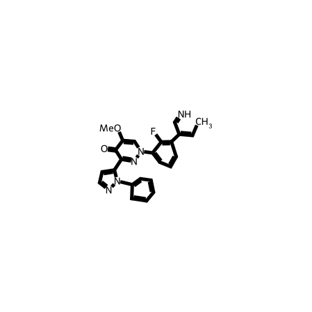 C/C=C(\C=N)c1cccc(-n2cc(OC)c(=O)c(-c3ccnn3-c3ccccc3)n2)c1F